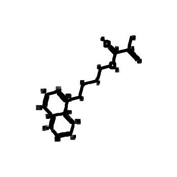 C=C(C)C(=O)OCCCCc1cccc2ccccc12